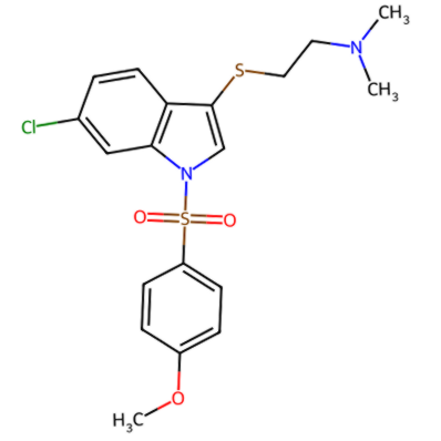 COc1ccc(S(=O)(=O)n2cc(SCCN(C)C)c3ccc(Cl)cc32)cc1